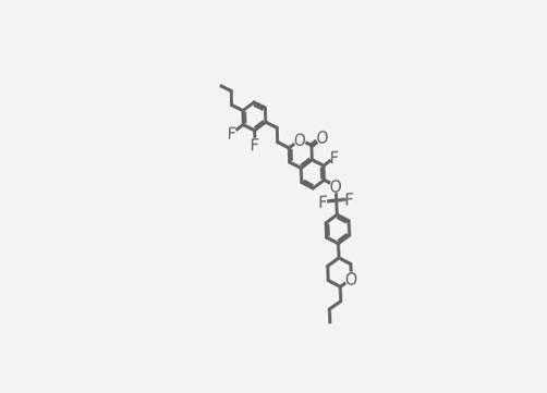 CCCc1ccc(CCc2cc3ccc(OC(F)(F)c4ccc(C5CCC(CCC)OC5)cc4)c(F)c3c(=O)o2)c(F)c1F